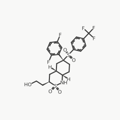 O=S1(=O)N[C@H]2CC[C@@](c3cc(F)ccc3F)(S(=O)(=O)c3ccc(C(F)(F)F)cc3)C[C@H]2C[C@@H]1CCO